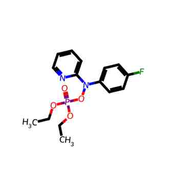 CCOP(=O)(OCC)ON(c1ccc(F)cc1)c1ccccn1